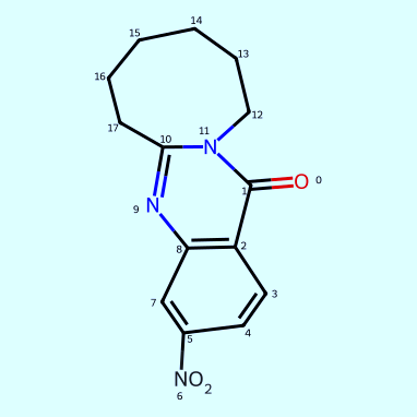 O=c1c2ccc([N+](=O)[O-])cc2nc2n1CCCCCC2